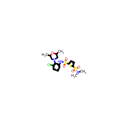 CC1CN(c2c(Cl)cccc2NS(=O)(=O)c2ccc(S(=O)(=O)N(C)C)s2)CC(C)O1